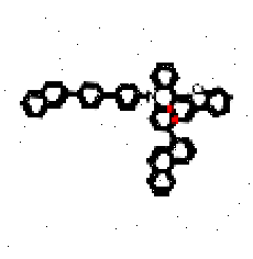 c1ccc(N(c2ccc(-c3ccc(-c4ccc5ccccc5c4)cc3)cc2)c2ccc(-c3cccc4c3ccc3ccccc34)cc2)c(-c2cccc3c2oc2ccccc23)c1